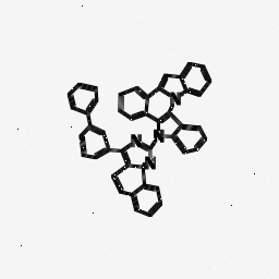 c1ccc(-c2cccc(-c3nc(-n4c5ccccc5c5c4c4ccccc4c4cc6ccccc6n45)nc4c3ccc3ccccc34)c2)cc1